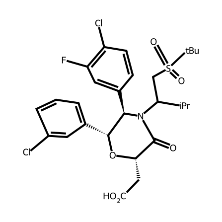 CC(C)C(CS(=O)(=O)C(C)(C)C)N1C(=O)[C@H](CC(=O)O)O[C@H](c2cccc(Cl)c2)[C@H]1c1ccc(Cl)c(F)c1